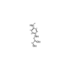 CNc1ccc(NCC(O)CO)cc1